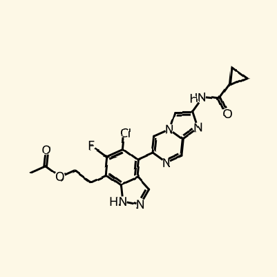 CC(=O)OCCc1c(F)c(Cl)c(-c2cn3cc(NC(=O)C4CC4)nc3cn2)c2cn[nH]c12